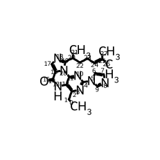 CCc1nc(-n2ccnc2)nc2c1[nH]c(=O)c1cnc(C(C)CCC=C(C)C)n12